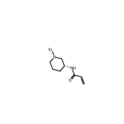 C=CC(=O)N[C@@H]1CCCN(CC)C1